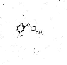 CCCc1ccnc(O[C@H]2C[C@@H](N)C2)c1